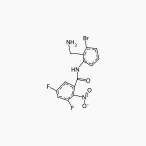 NCc1c(Br)cccc1NC(=O)c1cc(F)cc(F)c1[N+](=O)[O-]